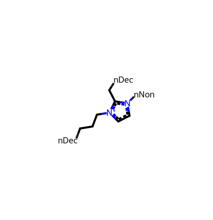 CCCCCCCCCCCCC[n+]1ccn(CCCCCCCCC)c1CCCCCCCCCCC